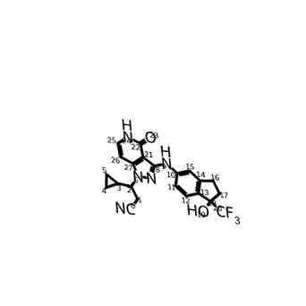 N#CCC(C1CC1)n1nc(Nc2ccc3c(c2)CCC3(O)C(F)(F)F)c2c(=O)[nH]ccc21